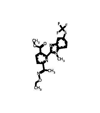 CCO/N=C(\C)c1ccc(C(=O)OC)c(-c2nc3cc(SC(F)(F)F)ccc3n2C)n1